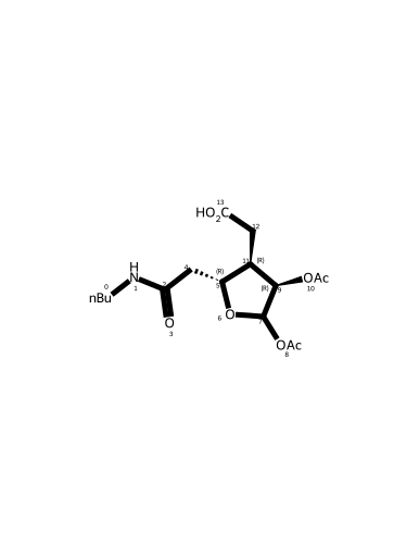 CCCCNC(=O)C[C@H]1OC(OC(C)=O)[C@H](OC(C)=O)[C@@H]1CC(=O)O